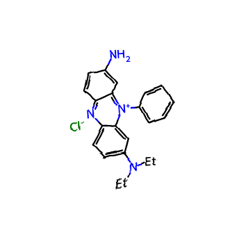 CCN(CC)c1ccc2nc3ccc(N)cc3[n+](-c3ccccc3)c2c1.[Cl-]